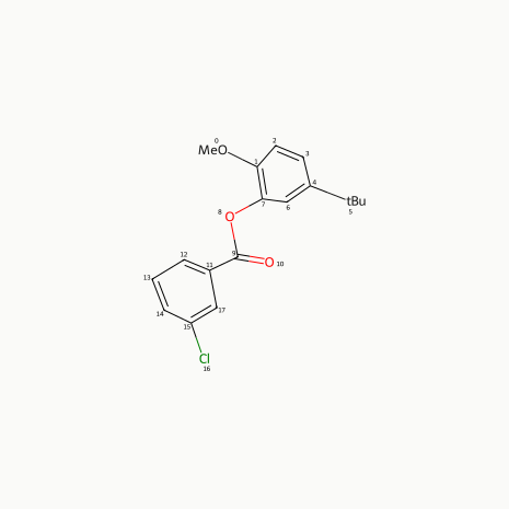 COc1ccc(C(C)(C)C)cc1OC(=O)c1cccc(Cl)c1